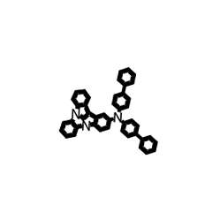 c1ccc(-c2ccc(N(c3ccc(-c4ccccc4)cc3)c3ccc4c(c3)c3c5ccccc5n5c6ccccc6n4c35)cc2)cc1